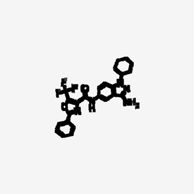 Nc1nn(C2CCCCC2)c2ccc(NC(=O)c3nc(-c4ccccc4)oc3C(F)(F)F)cc12